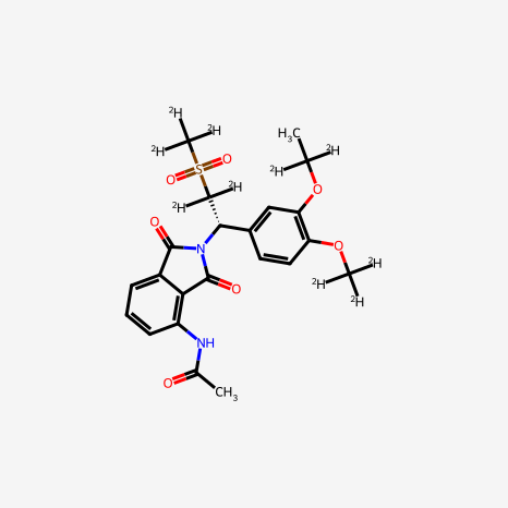 [2H]C([2H])([2H])Oc1ccc([C@H](N2C(=O)c3cccc(NC(C)=O)c3C2=O)C([2H])([2H])S(=O)(=O)C([2H])([2H])[2H])cc1OC([2H])([2H])C